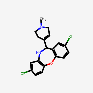 CN1CC=C(C2Nc3cc(Cl)ccc3Oc3ccc(Cl)cc32)CC1